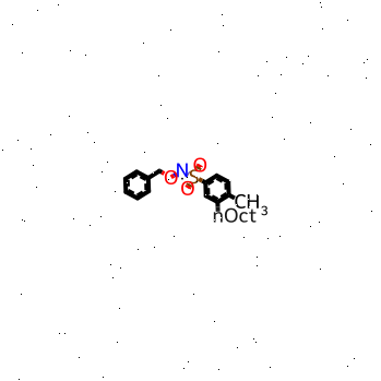 CCCCCCCCc1cc(S(=O)(=O)[N]OCc2ccccc2)ccc1C